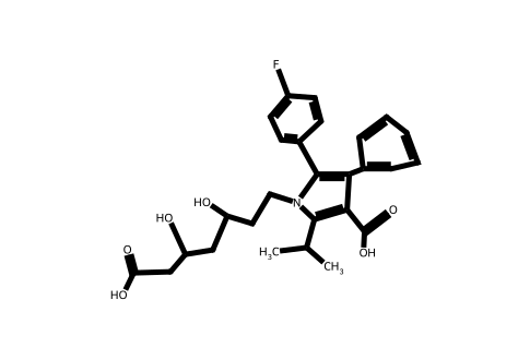 CC(C)c1c(C(=O)O)c(-c2ccccc2)c(-c2ccc(F)cc2)n1CCC(O)CC(O)CC(=O)O